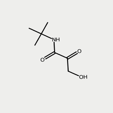 CC(C)(C)NC(=O)C(=O)CO